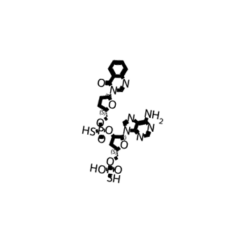 Nc1ncnc2c1ncn2[C@@H]1O[C@H](COP(=O)(O)S)CC1OP(=O)(S)OC[C@@H]1CC[C@H](n2cnc3ccccc3c2=O)O1